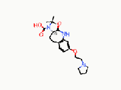 CC(C)(C)N(C(=O)O)[C@H]1CCc2ccc(OCCN3CCCC3)cc2NC1=O